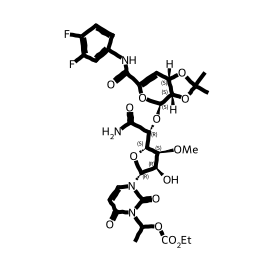 CCOC(=O)OC(C)n1c(=O)ccn([C@@H]2O[C@H]([C@@H](O[C@H]3OC(C(=O)Nc4ccc(F)c(F)c4)=C[C@@H]4OC(C)(C)O[C@H]34)C(N)=O)[C@@H](OC)[C@H]2O)c1=O